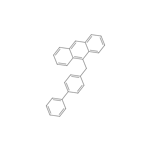 c1ccc(-c2ccc(Cc3c4ccccc4cc4ccccc34)cc2)cc1